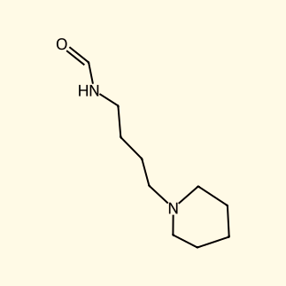 O=CNCCCCN1CCCCC1